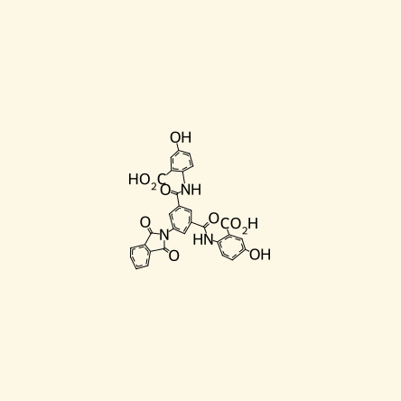 O=C(Nc1ccc(O)cc1C(=O)O)c1cc(C(=O)Nc2ccc(O)cc2C(=O)O)cc(N2C(=O)c3ccccc3C2=O)c1